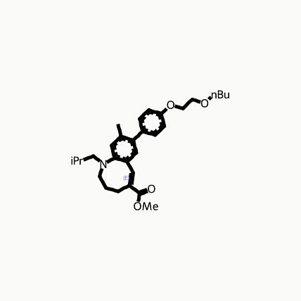 CCCCOCCOc1ccc(-c2cc3c(cc2C)N(CC(C)C)CCC/C(C(=O)OC)=C\3)cc1